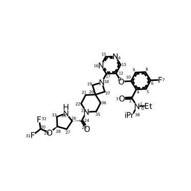 CCN(C(=O)c1cc(F)ccc1Oc1cncnc1N1CC2(CCN(C(=O)[C@@H]3C[C@@H](OC(F)F)CN3)CC2)C1)C(C)C